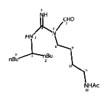 CCCCC(CCCC)NC(=N)N(C=O)CCCCNC(C)=O